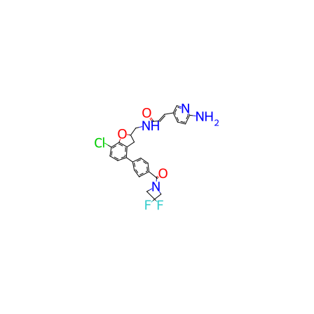 Nc1ccc(C=CC(=O)NCC2Cc3c(-c4ccc(C(=O)N5CC(F)(F)C5)cc4)ccc(Cl)c3O2)cn1